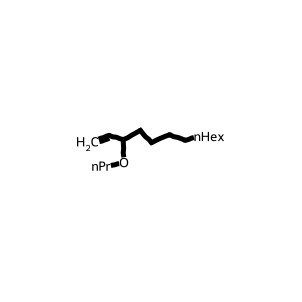 C=CC(CCCCCCCCCC)OCCC